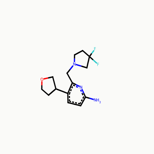 Nc1ccc(C2CCOC2)c(CN2CCC(F)(F)C2)n1